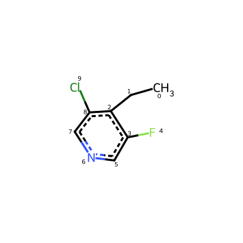 CCc1c(F)cncc1Cl